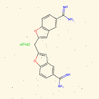 Cl.Cl.N=C(N)c1ccc2oc(Cc3cc4cc(C(=N)N)ccc4o3)cc2c1